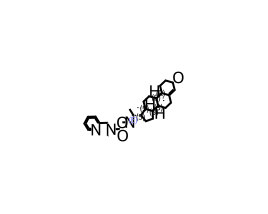 C/C(=N\OC(=O)N(C)Cc1ccccn1)[C@H]1CC[C@H]2[C@@H]3CCC4=CC(=O)CC[C@]4(C)[C@H]3CC[C@]12C